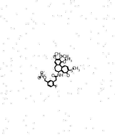 COc1cc2c(c(OC)c1OC)-c1ccc(SC)c(=O)cc1[C@@H](NC(=O)Cc1cc(CO[N+](=O)[O-])ccc1F)CC2